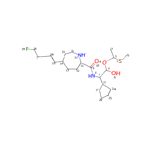 CSC(C)OC(O)C(NC(=O)C1CCC(CCCCF)CCN1)C1CCCC1